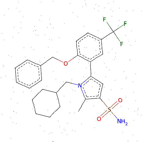 Cc1c(S(N)(=O)=O)cc(-c2cc(C(F)(F)F)ccc2OCc2ccccc2)n1CC1CCCCC1